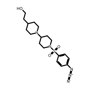 [N-]=[N+]=Nc1ccc(S(=O)(=O)N2CCC(N3CCC(CCO)CC3)CC2)cc1